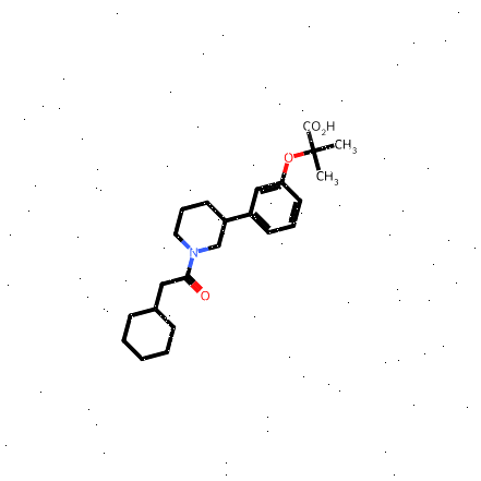 CC(C)(Oc1cccc(C2CCCN(C(=O)CC3CCCCC3)C2)c1)C(=O)O